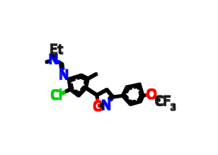 CCN(C)C=Nc1cc(C)c(C2CC(c3ccc(OC(F)(F)F)cc3)=NO2)cc1Cl